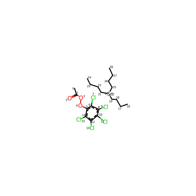 CC(=O)OOc1c(Cl)c(Cl)c(Cl)c(Cl)c1Cl.CCC[CH2][Sn]([CH2]CCC)[CH2]CCC